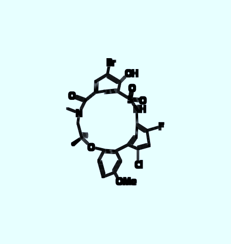 COc1ccc2c(c1)-c1cc(c(F)cc1Cl)NS(=O)(=O)c1cc(cc(Br)c1O)C(=O)N(C)C[C@H](C)O2